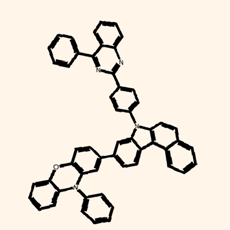 c1ccc(-c2nc(-c3ccc(-n4c5cc(-c6ccc7c(c6)N(c6ccccc6)c6ccccc6O7)ccc5c5c6ccccc6ccc54)cc3)nc3ccccc23)cc1